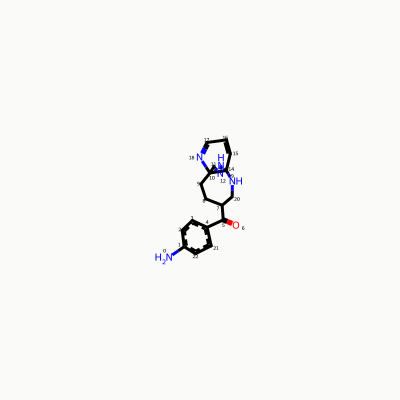 Nc1ccc(C(=O)C2CCC34C=NNC3(C=CC=N4)NC2)cc1